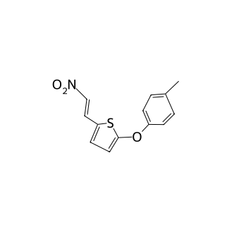 Cc1ccc(Oc2ccc(C=C[N+](=O)[O-])s2)cc1